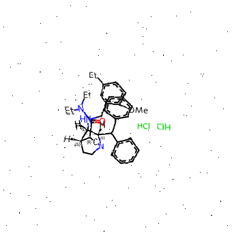 CCc1ccc(OC)c(CN[C@H]2[C@H]3CCN(C[C@@H]3C(=O)N(CC)CC)[C@H]2C(c2ccccc2)c2ccccc2)c1.Cl.Cl